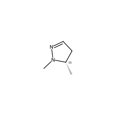 C[C@H]1CC=NN1C